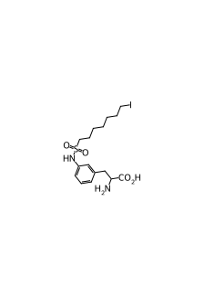 NC(Cc1cccc(NS(=O)(=O)CCCCCCCI)c1)C(=O)O